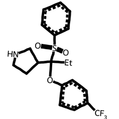 CCC(Oc1ccc(C(F)(F)F)cc1)(C1CCNC1)S(=O)(=O)c1ccccc1